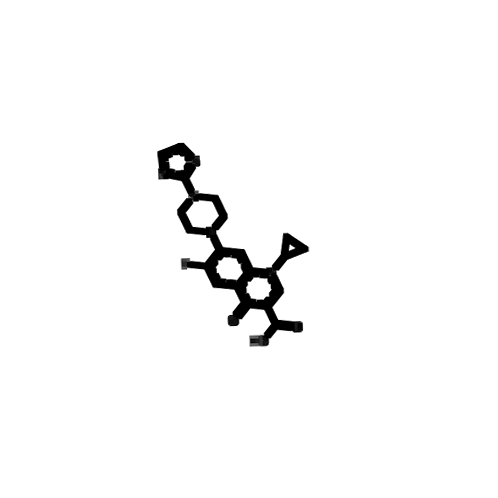 O=C(O)c1cn(C2CC2)c2cc(N3CCN(c4nccs4)CC3)c(F)cc2c1=O